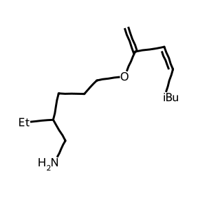 C=C(/C=C\C(C)CC)OCCCC(CC)CN